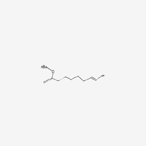 CCCC=CCCCCCC(=O)OCCCC